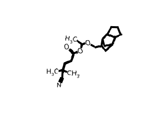 CC(OCC1CC2CC1C1CCCC21)OC(=O)CCC(C)(C)C#N